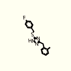 Cc1ccccc1Cc1n[nH]c(SCc2ccc(F)cc2)n1